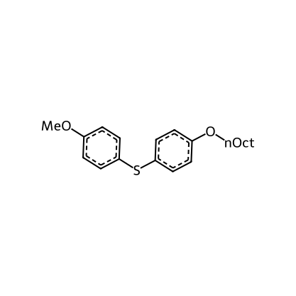 CCCCCCCCOc1ccc(Sc2ccc(OC)cc2)cc1